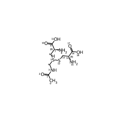 CC(=O)NC[SH](C[C@H](N)C(=O)O)SC[C@H](N)C(=O)O